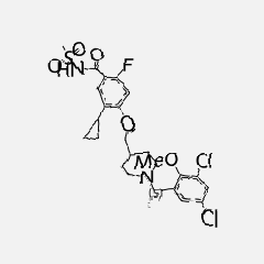 COc1c(Cl)cc(Cl)cc1[C@H](C)N1CCC(COc2cc(F)c(C(=O)NS(C)(=O)=O)cc2C2CC2)CC1